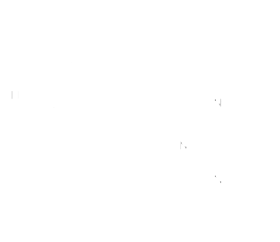 CC(C(=O)O)c1ccc(-n2cnc3cccnc32)cc1